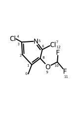 Cc1cc(Cl)nc(Cl)c1OC(F)F